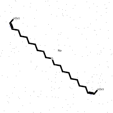 CCCCCCCC/C=C\CCCCCCCCOCCCCCCCC/C=C\CCCCCCCC.[Na]